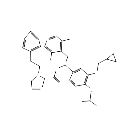 O=C(O[C@@H](Cc1c(Cl)cncc1Cl)c1ccc(OC(F)F)c(OCC2CC2)c1)[C@@H]1SCCN1CCc1ccccc1